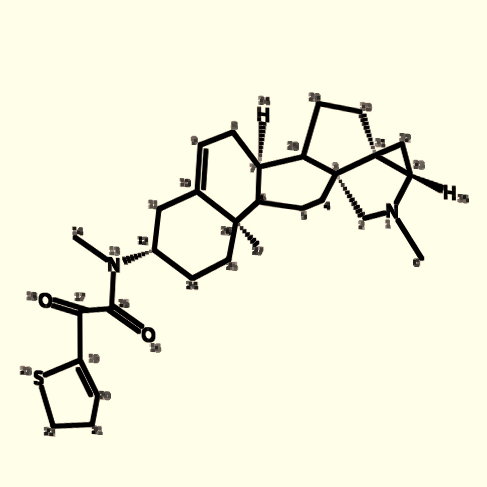 CN1C[C@]23CCC4[C@@H](CC=C5C[C@@H](N(C)C(=O)C(=O)C6=CCCS6)CC[C@@]54C)C2CC[C@@]32C[C@H]12